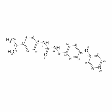 CC(C)c1ccc(NC(=O)NCc2ccc(Oc3ccncc3)cc2)cc1